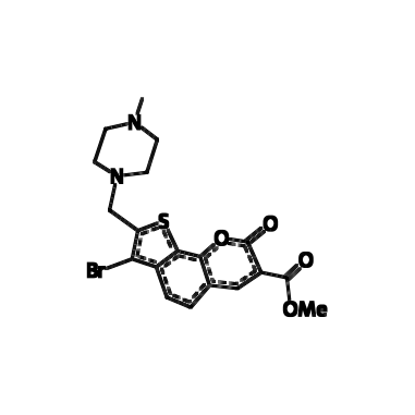 COC(=O)c1cc2ccc3c(Br)c(CN4CCN(C)CC4)sc3c2oc1=O